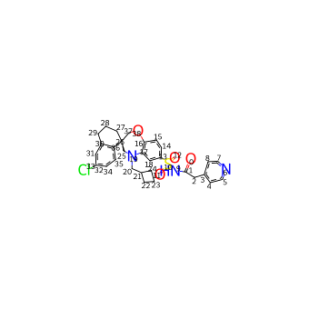 O=C(Cc1ccncc1)NS(=O)(=O)c1ccc2c(c1)N(CC1CCC1)C[C@@]1(CCCc3cc(Cl)ccc31)CO2